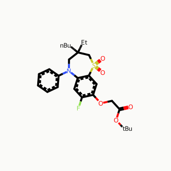 CCCCC1(CC)CN(c2ccccc2)c2cc(F)c(OCC(=O)OC(C)(C)C)cc2S(=O)(=O)C1